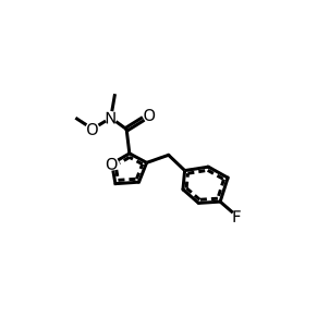 CON(C)C(=O)c1occc1Cc1ccc(F)cc1